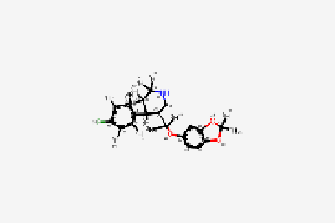 [2H]c1c([2H])c(C2([2H])[C@H](C([2H])([2H])Oc3ccc4c(c3)OC([2H])([2H])O4)CNC([2H])([2H])C2([2H])[2H])c([2H])c([2H])c1F